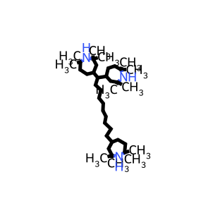 CC1(C)CCC(CCCCCCCCCC(C2CCC(C)(C)NC(C)(C)C2)C2CCC(C)(C)NC(C)(C)C2)CC(C)(C)N1